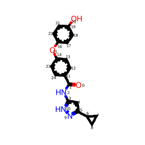 O=C(Nc1cc(C2CC2)n[nH]1)c1ccc(Oc2ccc(O)cc2)cc1